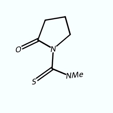 CNC(=S)N1CCCC1=O